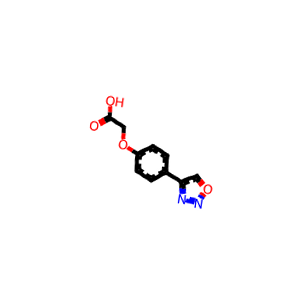 O=C(O)COc1ccc(-c2conn2)cc1